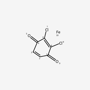 O=C1C=CC(=O)C(Cl)=C1Cl.[Fe]